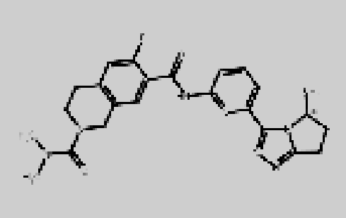 C[C@H]1CCc2nnc(-c3cccc(NC(=O)c4cc5c(cc4F)CCN(C(=O)N(C)C)C5)n3)n21